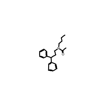 CCCCN(CCC(c1ccccc1)c1ccccc1)C(C)=O